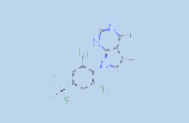 Cc1nc(Cl)c2c(C)cn(-c3c(Br)cc(C(F)(F)F)cc3Br)c2n1